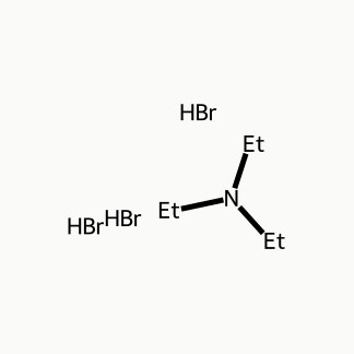 Br.Br.Br.CCN(CC)CC